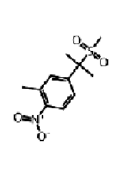 Cc1cc(C(C)(C)S(C)(=O)=O)ccc1[N+](=O)[O-]